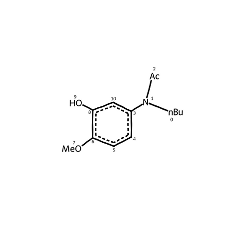 CCCCN(C(C)=O)c1ccc(OC)c(O)c1